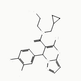 CCCN(CC1CC1)C(=O)C1=C(C)Nc2ccnn2C1c1ccc(Cl)c(Cl)c1